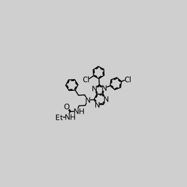 CCNC(=O)NCCN(CCc1ccccc1)c1ncnc2c1nc(-c1ccccc1Cl)n2-c1ccc(Cl)cc1